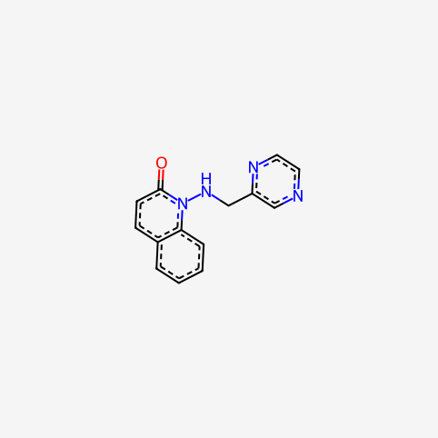 O=c1ccc2ccccc2n1NCc1cnccn1